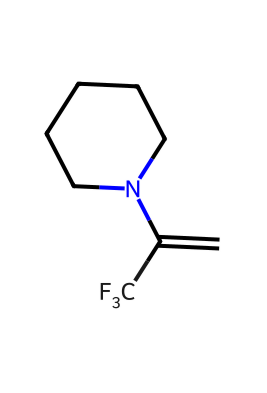 C=C(N1CCCCC1)C(F)(F)F